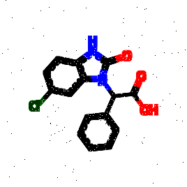 O=C(O)C(c1ccccc1)n1c(=O)[nH]c2ccc(Cl)cc21